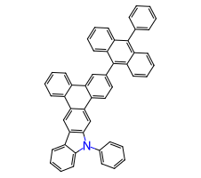 c1ccc(-c2c3ccccc3c(-c3ccc4c(c3)c3ccccc3c3cc5c6ccccc6n(-c6ccccc6)c5cc43)c3ccccc23)cc1